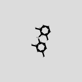 Cc1ccc(Sc2c(C)cccc2C)c(C)c1